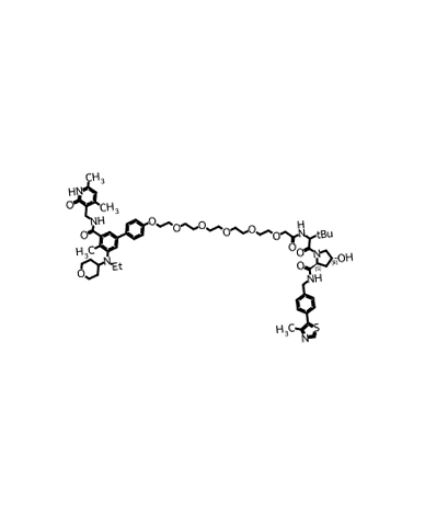 CCN(c1cc(-c2ccc(OCCOCCOCCOCCOCCOCC(=O)NC(C(=O)N3C[C@H](O)C[C@H]3C(=O)NCc3ccc(-c4scnc4C)cc3)C(C)(C)C)cc2)cc(C(=O)NCc2c(C)cc(C)[nH]c2=O)c1C)C1CCOCC1